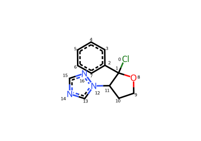 ClC1(c2ccccc2)OCCC1n1cncn1